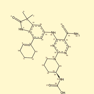 CC1(C)C(=O)Nc2c(C3=CCCCC3)cc(Nc3nc(N4CCC[C@H](NC(=O)O)C4)ncc3C(N)=O)cc21